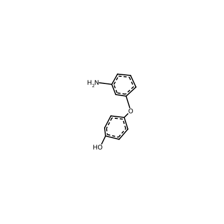 Nc1cccc(Oc2ccc(O)cc2)c1